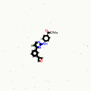 COC(=O)[C@H]1CC[C@H](Nc2ncc(F)c(-c3cccc(C4COC4)c3)n2)CC1